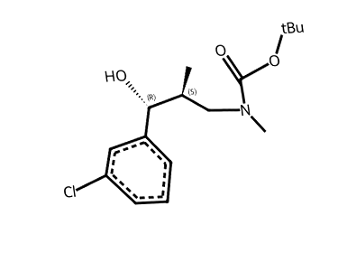 C[C@@H](CN(C)C(=O)OC(C)(C)C)[C@@H](O)c1cccc(Cl)c1